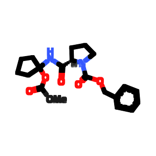 COC(=O)OC1(NC(=O)[C@@H]2CCCN2C(=O)OCc2ccccc2)CCCC1